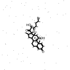 CC1CC2C3CCC4=CC(=O)C=CC4(C)C3(F)C(O)CC2(C)C1(OC(=O)CCCBr)C(=O)CO